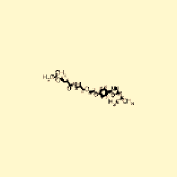 CC(C)OCCCC(=O)NCCCOCCOc1ccc(-c2nnc(SC(C)C)o2)cc1